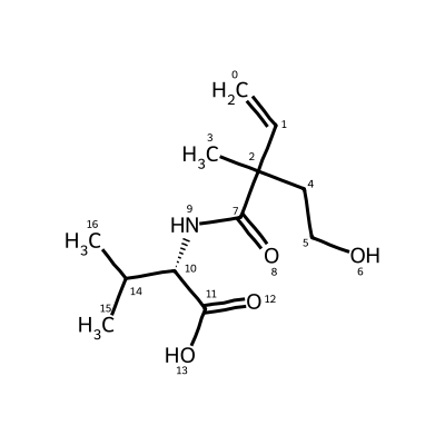 C=CC(C)(CCO)C(=O)N[C@H](C(=O)O)C(C)C